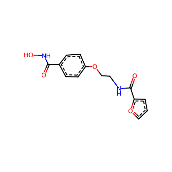 O=C(NO)c1ccc(OCCNC(=O)c2ccco2)cc1